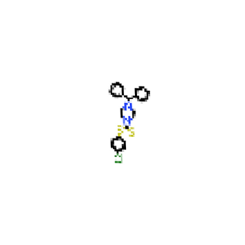 S=C(Sc1ccc(Cl)cc1)N1CCN(C(c2ccccc2)c2ccccc2)CC1